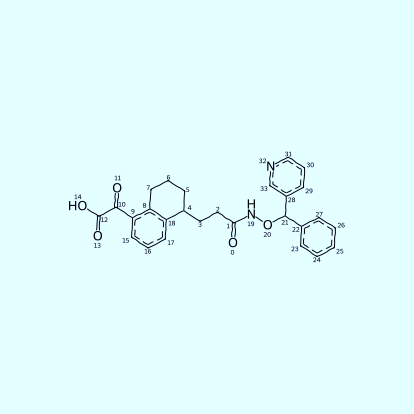 O=C(CCC1CCCc2c(C(=O)C(=O)O)cccc21)NOC(c1ccccc1)c1cccnc1